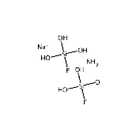 N.O[Si](O)(O)F.[Na+].[O-][Si](O)(O)F